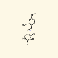 COc1ccc(/C=N/c2c[nH]c(=O)[nH]c2=O)c(O)c1